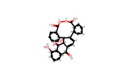 O=C1OOC(=O)c2ccccc2C2(O)C(=CC=C3C(=O)c4cccc(O)c4C(=O)C32)c2ccccc21